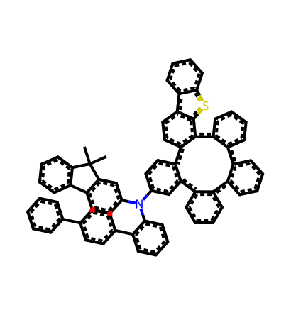 CC1(C)c2ccccc2-c2ccc(N(c3ccc4c(c3)c3ccccc3c3ccccc3c3ccccc3c3c4ccc4c5ccccc5sc43)c3ccccc3-c3ccc(-c4ccccc4)cc3)cc21